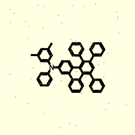 Cc1cc(C)cc(N(c2ccccc2)c2ccc3c(c2)c2ccccc2c2c(-c4ccccc4)cc(-c4ccccc4)c(-c4ccccc4)c32)c1